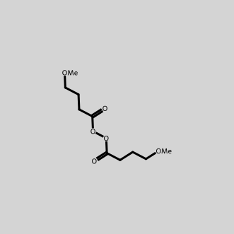 COCCCC(=O)OOC(=O)CCCOC